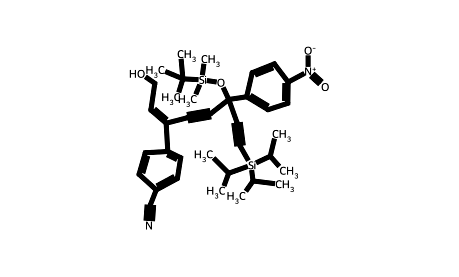 CC(C)[Si](C#CC(C#C/C(=C\CO)c1ccc(C#N)cc1)(O[Si](C)(C)C(C)(C)C)c1ccc([N+](=O)[O-])cc1)(C(C)C)C(C)C